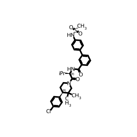 CC(C)[C@@H](NC(=O)c1cccc(-c2ccc(NS(C)(=O)=O)cc2)c1)C(=O)N1CC[C@H](c2ccc(Cl)cc2)C(C)(C)C1